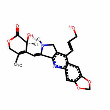 CC[C@@]1(O)C(=O)OCC(C=O)=C1/C=C1/c2nc3cc4c(cc3c(/C=C/CO)c2CN1C)OCO4